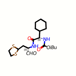 CC(C)COC(=O)N[C@H](C(=O)N[C@H](C=O)CC1SCCS1)C1CCCCC1